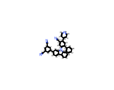 N#Cc1cc(C#N)cc(-c2ccc3c4ccccc4n(-c4cc(C#N)c(-c5ccncc5)cc4-c4ccccc4)c3c2)c1